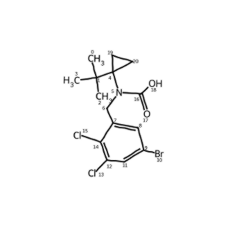 CC(C)(C)C1(N(Cc2cc(Br)cc(Cl)c2Cl)C(=O)O)CC1